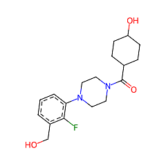 O=C(C1CCC(O)CC1)N1CCN(c2cccc(CO)c2F)CC1